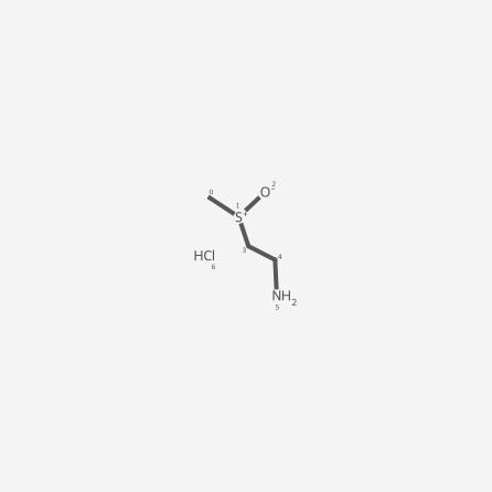 C[S+]([O-])CCN.Cl